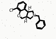 Clc1cccc2c1OC[C@H]1CN(Cc3ccccc3)C[C@H]21